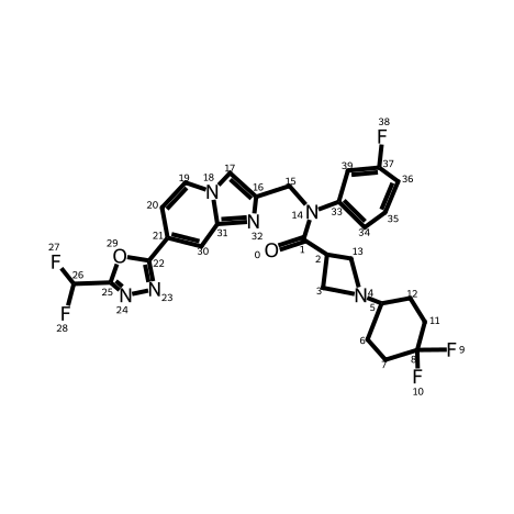 O=C(C1CN(C2CCC(F)(F)CC2)C1)N(Cc1cn2ccc(-c3nnc(C(F)F)o3)cc2n1)c1cccc(F)c1